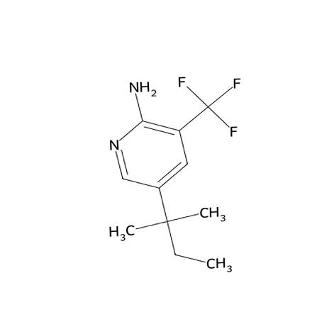 CCC(C)(C)c1cnc(N)c(C(F)(F)F)c1